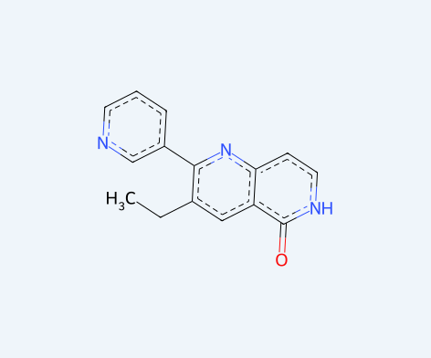 CCc1cc2c(=O)[nH]ccc2nc1-c1cccnc1